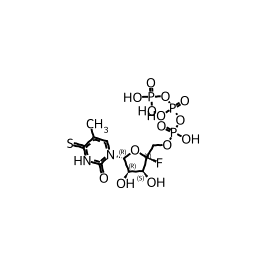 Cc1cn([C@@H]2O[C@](F)(COP(=O)(O)OP(=O)(O)OP(=O)(O)O)[C@@H](O)[C@H]2O)c(=O)[nH]c1=S